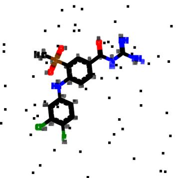 CS(=O)(=O)c1cc(C(=O)NC(=N)N)ccc1Nc1ccc(F)c(Cl)c1